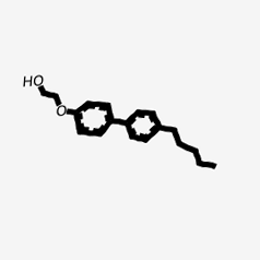 CCCCCc1ccc(-c2ccc(OCCO)cc2)cc1